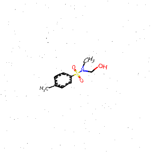 Cc1ccc(S(=O)(=O)N(C)CO)cc1